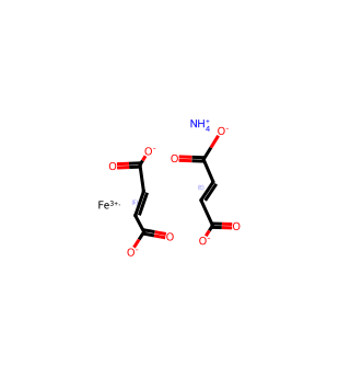 O=C([O-])/C=C/C(=O)[O-].O=C([O-])/C=C/C(=O)[O-].[Fe+3].[NH4+]